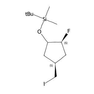 CC(C)(C)[Si](C)(C)OC1C[C@H](CI)C[C@@H]1F